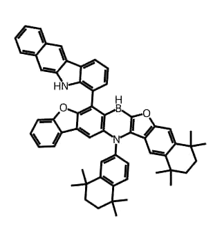 CC1(C)CCC(C)(C)c2cc(N3c4cc5c(oc6ccccc65)c(-c5cccc6c5[nH]c5cc7ccccc7cc56)c4Bc4oc5cc6c(cc5c43)C(C)(C)CCC6(C)C)ccc21